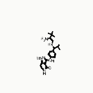 CC(C)C(N/C=C(\N)C(C)(C)C)c1ccc(Nc2n[nH]c3cc[nH]c(=O)c23)cc1